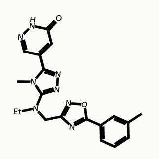 CCN(Cc1noc(-c2cccc(C)c2)n1)c1nnc(-c2cn[nH]c(=O)c2)n1C